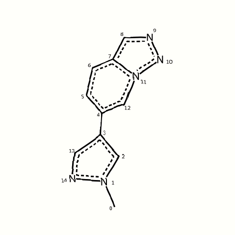 Cn1cc(-c2ccc3cnnn3c2)cn1